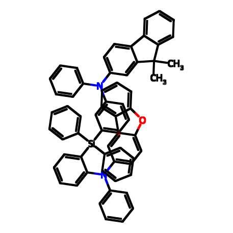 CC1(C)c2ccccc2-c2ccc(N(c3ccccc3)c3cccc([Si](c4ccccc4)(c4ccccc4)c4ccccc4N(c4ccccc4)c4ccc5oc6ccccc6c5c4)c3)cc21